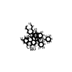 CCCCC1NC(=C2C(c3c(C)cc(C)cc3C)=C(Cl)C=CC2(C(Cl)=C2CCCCC2P(C2CCCCC2)C2CCCCC2)c2c(C)cc(C)cc2C)NC1CCCC.[Ru]